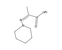 CCCC(=O)C(C)=NN1CCCCC1